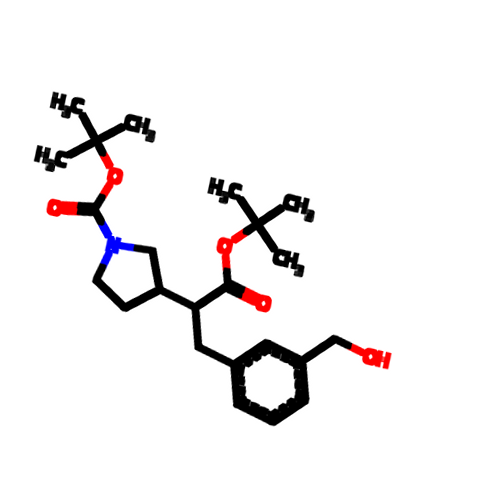 CC(C)(C)OC(=O)C(Cc1cccc(CO)c1)C1CCN(C(=O)OC(C)(C)C)C1